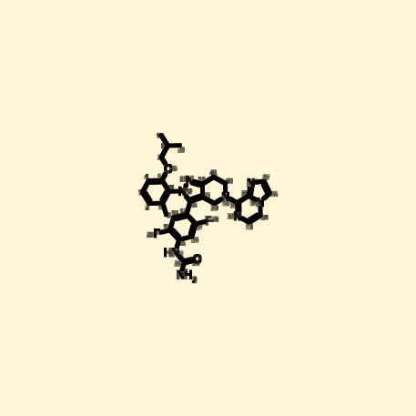 Cc1cccc(OCC(C)C)c1-n1nc2c(c1-c1cc(F)c(NC(N)=O)cc1F)CN(c1nccn3ccnc13)CC2